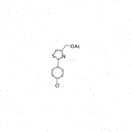 CC(=O)OCc1csc(-c2ccc(Cl)cc2)n1